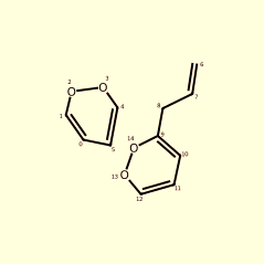 C1=COOC=C1.C=CCC1=CC=COO1